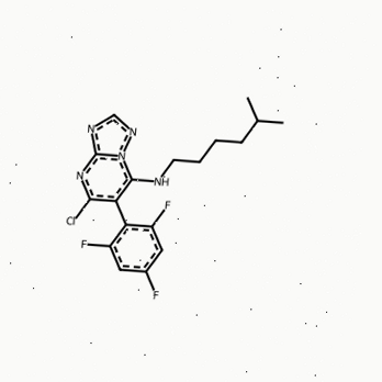 CC(C)CCCCNc1c(-c2c(F)cc(F)cc2F)c(Cl)nc2ncnn12